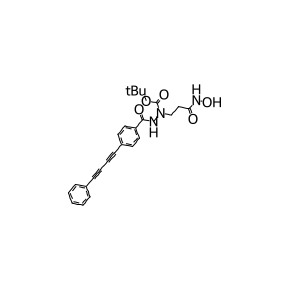 CC(C)(C)OC(=O)N(CCC(=O)NO)NC(=O)c1ccc(C#CC#Cc2ccccc2)cc1